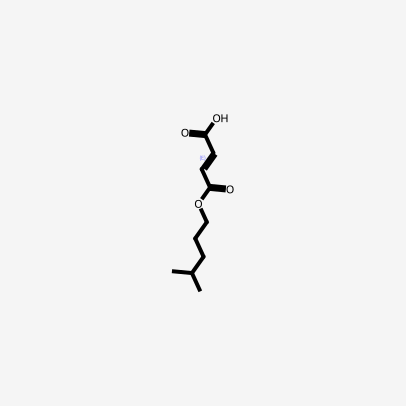 CC(C)CCCOC(=O)/C=C/C(=O)O